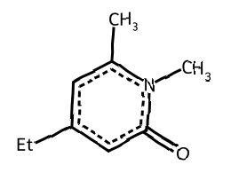 CCc1cc(C)n(C)c(=O)c1